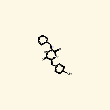 CC(C)(C)c1ccc(/C=c2\[nH]c(=O)/c(=C/c3ccccc3)[nH]c2=O)cc1